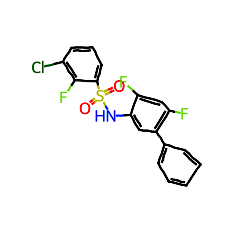 O=S(=O)(Nc1cc(-c2ccccc2)c(F)cc1F)c1cccc(Cl)c1F